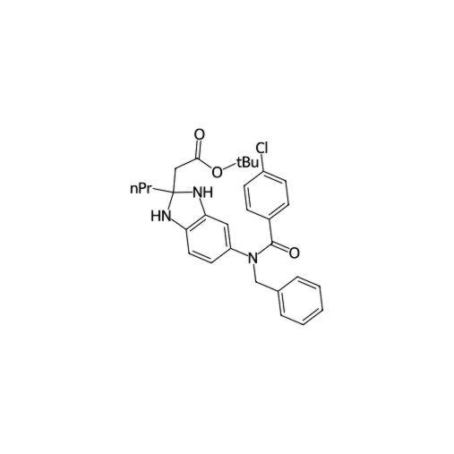 CCCC1(CC(=O)OC(C)(C)C)Nc2ccc(N(Cc3ccccc3)C(=O)c3ccc(Cl)cc3)cc2N1